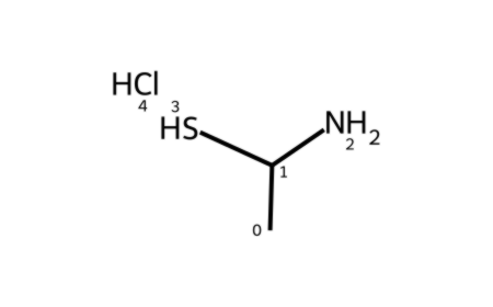 CC(N)S.Cl